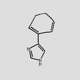 C1=CC(c2c[nH]cn2)=CCC1